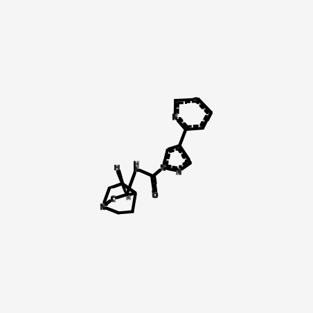 O=C(N[C@H]1CN2CCC1CC2)n1cc(-c2ccccn2)cn1